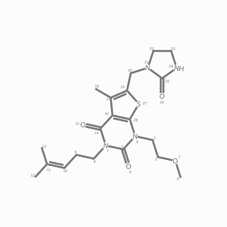 COCCn1c(=O)n(CCC=C(C)C)c(=O)c2c(C)c(CN3CCNC3=O)sc21